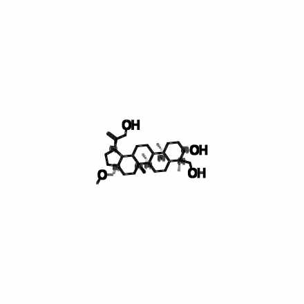 C=C(CO)[C@@H]1CC[C@]2(COC)CC[C@]3(C)C(CCC4[C@@]5(C)CC[C@H](O)[C@@](C)(CO)C5CC[C@]43C)C12